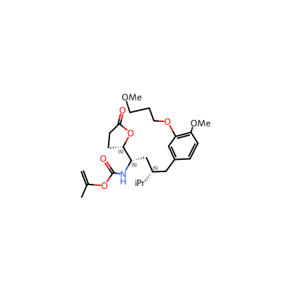 C=C(C)OC(=O)N[C@@H](C[C@H](Cc1ccc(OC)c(OCCCOC)c1)C(C)C)[C@@H]1CCC(=O)O1